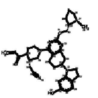 C=CC(=O)N1CCN(c2nc(OC[C@@H]3CCCN3C)nc3c2CC[C@H](N2CCc4ccc(O)cc42)C3)C[C@@H]1CC#N